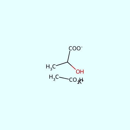 CC(=O)O.CC(O)C(=O)[O-].[K+]